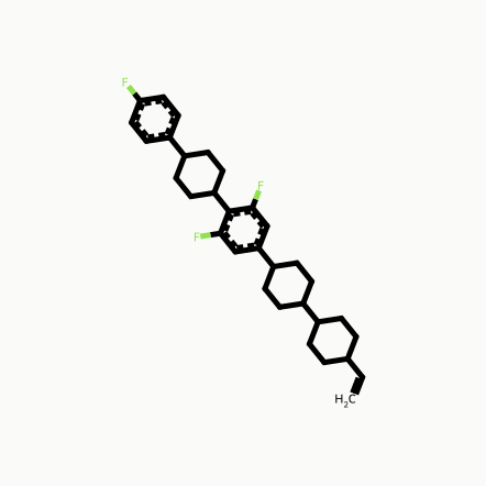 C=CC1CCC(C2CCC(c3cc(F)c(C4CCC(c5ccc(F)cc5)CC4)c(F)c3)CC2)CC1